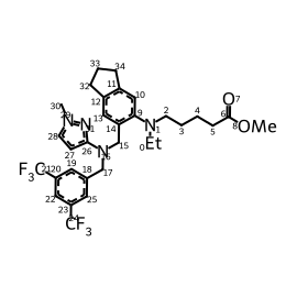 CCN(CCCCC(=O)OC)c1cc2c(cc1CN(Cc1cc(C(F)(F)F)cc(C(F)(F)F)c1)c1ccn(C)n1)CCC2